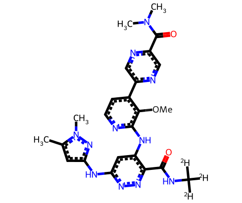 [2H]C([2H])([2H])NC(=O)c1nnc(Nc2cc(C)n(C)n2)cc1Nc1nccc(-c2cnc(C(=O)N(C)C)cn2)c1OC